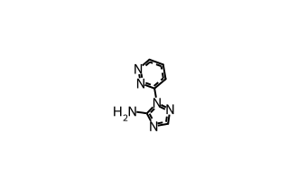 Nc1ncnn1-c1cccnn1